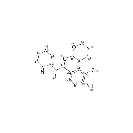 CC(C1CNCCN1)C(OC1CCCCO1)c1ccc(Cl)c(Cl)c1